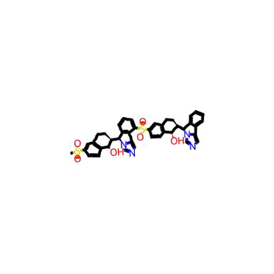 CS(=O)(=O)c1ccc2c(c1)CC[C@@H]([C@H]1c3cccc(S(=O)(=O)c4ccc5c(c4)CC[C@@H]([C@H]4c6ccccc6-c6cncn64)[C@@H]5O)c3-c3cncn31)[C@H]2O